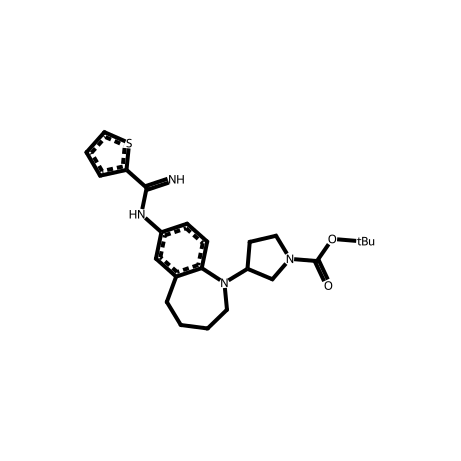 CC(C)(C)OC(=O)N1CCC(N2CCCCc3cc(NC(=N)c4cccs4)ccc32)C1